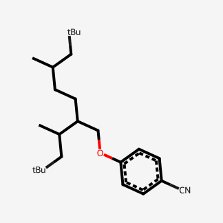 CC(CCC(COc1ccc(C#N)cc1)C(C)CC(C)(C)C)CC(C)(C)C